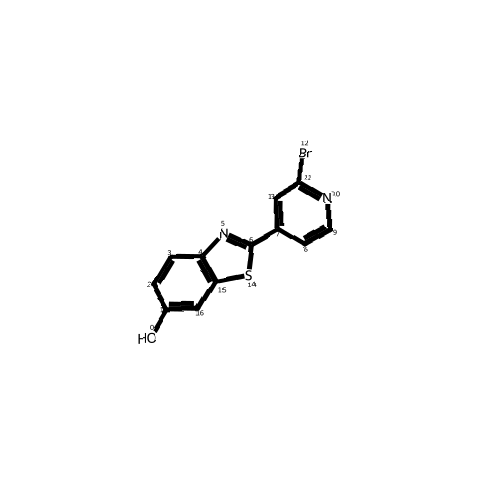 Oc1ccc2nc(-c3ccnc(Br)c3)sc2c1